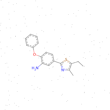 [CH2]Cc1sc(-c2ccc(Oc3ccccc3)c(N)c2)nc1C